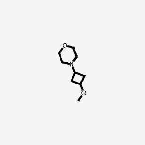 COC1CC(N2CCOCC2)C1